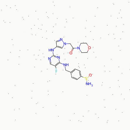 N[S+]([O-])c1ccc(CNc2nc(Nc3cnn(CC(=O)N4CCOCC4)c3)ncc2F)cc1